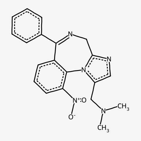 CN(C)Cc1cnc2n1-c1c(cccc1[N+](=O)[O-])C(c1ccccc1)=NC2